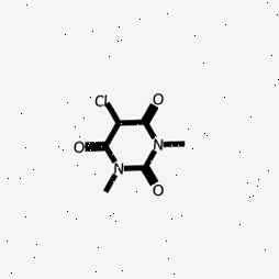 CN1C(=O)C(Cl)C(=O)N(C)C1=O